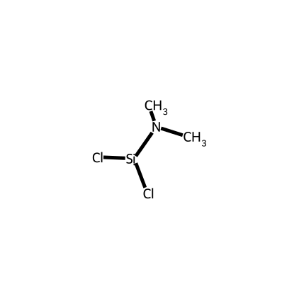 CN(C)[Si](Cl)Cl